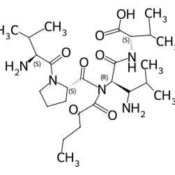 CCCC(=O)C(=O)N(C(=O)[C@@H]1CCCN1C(=O)[C@@H](N)C(C)C)[C@@H](C(=O)N[C@H](C(=O)O)C(C)C)C(N)C(C)C